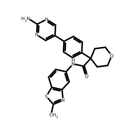 Cc1nc2cc(NC(=O)C3(c4ccc(-c5cnc(N)nc5)cc4)CCOCC3)ccc2s1